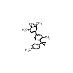 C=C1C(C)=CC(c2ccc(C3(N4CCN(C)CC4)CC3)c(C)c2)=CN1C